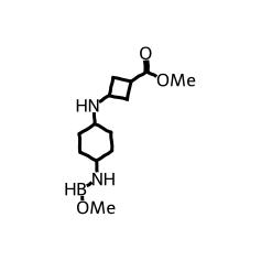 COBNC1CCC(NC2CC(C(=O)OC)C2)CC1